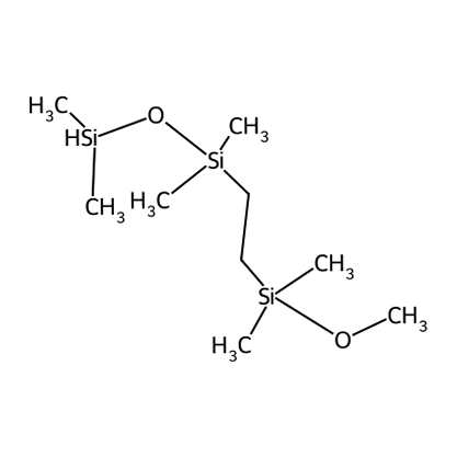 CO[Si](C)(C)CC[Si](C)(C)O[SiH](C)C